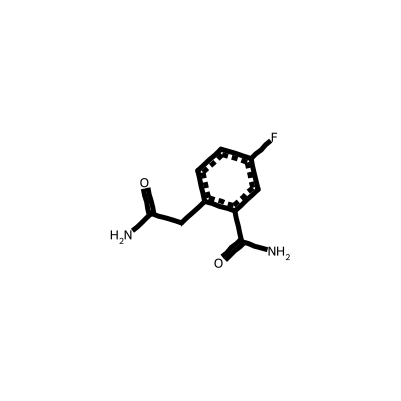 NC(=O)[CH]c1ccc(F)cc1C(N)=O